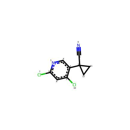 N#CC1(c2cnc(Cl)cc2Cl)CC1